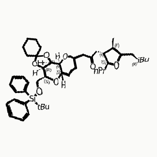 CCC[C@@H]1OC(C[C@H](C)CC)[C@H](C)[C@H]1CC(=O)CC1CC[C@@H]2O[C@@H](CO[Si](c3ccccc3)(c3ccccc3)C(C)(C)C)[C@H]3OC4(CCCCC4)O[C@H]3[C@H]2O1